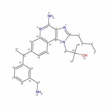 CCCCc1nc2c(N)nc3cc(C(C)c4cccc(CN)c4)ccc3c2n1CC(C)(C)O